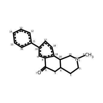 CN1CCC2CC(=O)c3cc(-c4ccccc4)ccc3C2C1